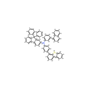 c1ccc(C2(c3ccccc3)c3ccccc3-c3ccc(N(c4ccc(-c5cccc6c5sc5ccccc56)cc4)c4cccc(-c5cccc6ccccc56)c4)cc32)cc1